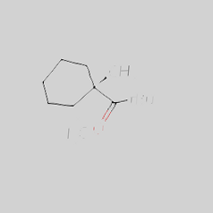 C[C@@H]1CCCC[C@]1(C)C(=O)C(C)(C)C